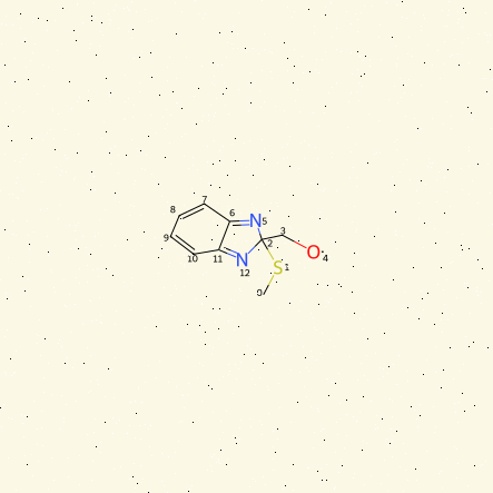 CSC1(C[O])N=c2ccccc2=N1